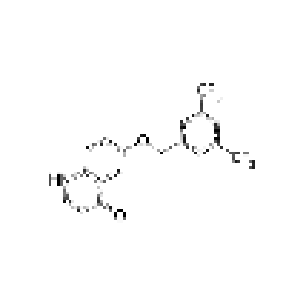 O=c1cc[nH]c2ccc(OCc3cc(C(F)(F)F)cc(C(F)(F)F)c3)cc12